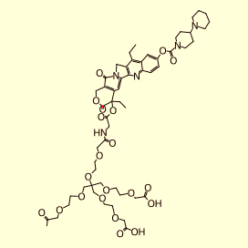 CCc1c2c(nc3ccc(OC(=O)N4CCC(N5CCCCC5)CC4)cc13)-c1cc3c(c(=O)n1C2)COC(=O)C3(CC)OC(=O)CNC(=O)COCCOC(COCCOCC(C)=O)(COCCOCC(=O)O)COCCOCC(=O)O